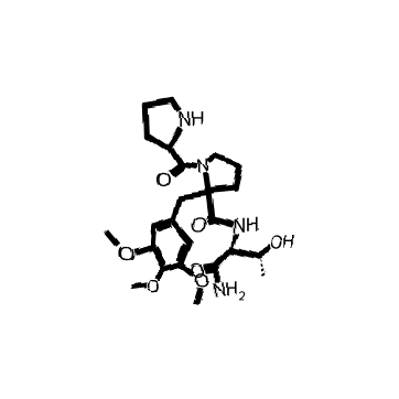 COc1cc(CC2(C(=O)N[C@H](C(N)=O)[C@@H](C)O)CCCN2C(=O)C2CCCN2)cc(OC)c1OC